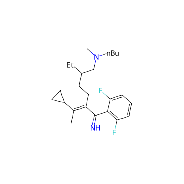 CCCCN(C)CC(CC)CC/C(C(=N)c1c(F)cccc1F)=C(/C)C1CC1